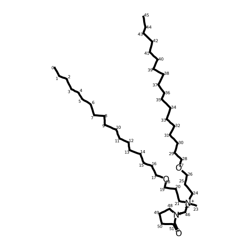 CCCCCCCCCCCCCCCCCCOCCC[N+](C)(CCCOCCCCCCCCCCCCCCCCCC)CN1CCCC1=O